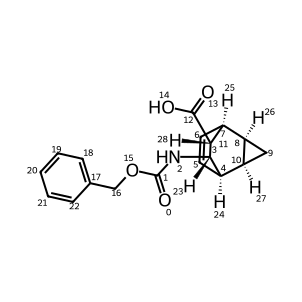 O=C(N[C@H]1[C@@H]2C=C[C@@H]([C@H]3C[C@@H]23)[C@H]1C(=O)O)OCc1ccccc1